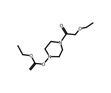 C=C(OCC)ON1CCN(C(=O)COCC)CC1